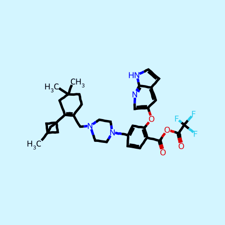 CC1(C)CCC(CN2CCN(c3ccc(C(=O)OC(=O)C(F)(F)F)c(Oc4cnc5[nH]ccc5c4)c3)CC2)=C(C23CC(C)(C2)C3)C1